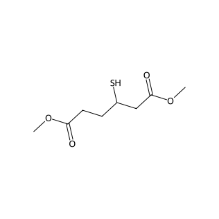 COC(=O)CCC(S)CC(=O)OC